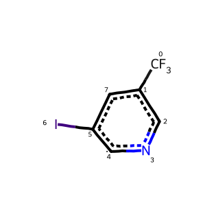 FC(F)(F)c1cn[c]c(I)c1